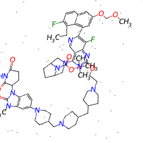 CCc1c(F)ccc2cc(OCOC)cc(-c3ncc4c(N5CC6CCC(C5)N6C(=O)OC(C)(C)C)nc(OCCN5CCC(CC6CCN(CC7CCN(c8ccc9c(c8)n(C)c(=O)n9C8CCC(=O)NC8=O)CC7)CC6)CC5)nc4c3F)c12